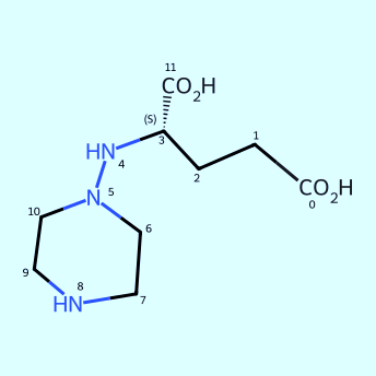 O=C(O)CC[C@H](NN1CCNCC1)C(=O)O